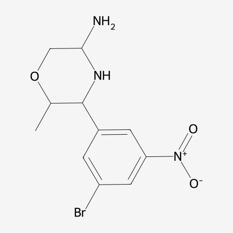 CC1OCC(N)NC1c1cc(Br)cc([N+](=O)[O-])c1